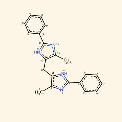 Cc1nc(-c2ccccc2)[nH]c1Cc1[nH]c(-c2ccccc2)nc1C